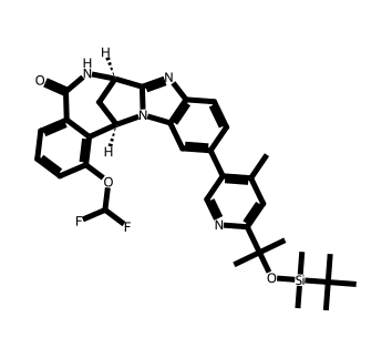 Cc1cc(C(C)(C)O[Si](C)(C)C(C)(C)C)ncc1-c1ccc2nc3n(c2c1)[C@@H]1C[C@H]3NC(=O)c2cccc(OC(F)F)c21